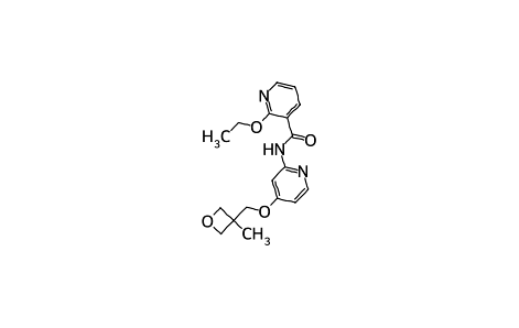 CCOc1ncccc1C(=O)Nc1cc(OCC2(C)COC2)ccn1